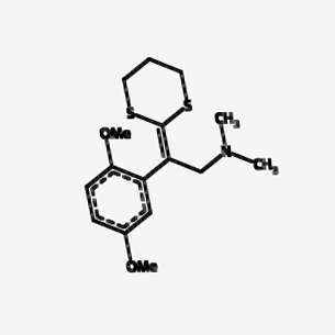 COc1ccc(OC)c(C(CN(C)C)=C2SCCCS2)c1